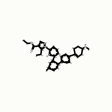 CCOC(=O)c1cnn(-c2cccc(-c3cc(C)ccc3-c3ccc(C4=CCC(OC)CC4)cc3)n2)c1CC